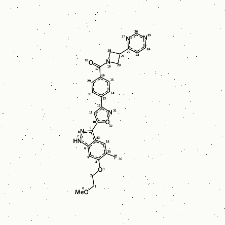 COCCOc1cc2[nH]nc(-c3cc(-c4ccc(C(=O)N5CC(c6ccncn6)C5)cc4)no3)c2cc1F